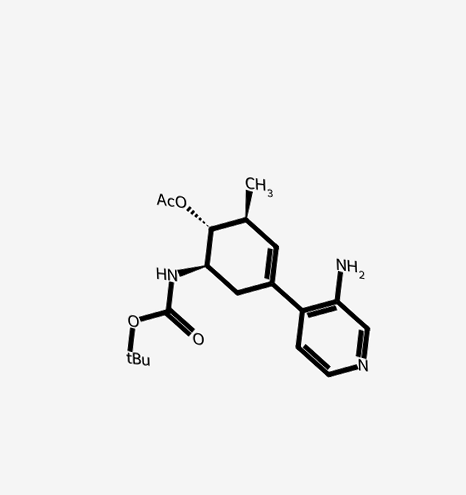 CC(=O)O[C@@H]1[C@@H](C)C=C(c2ccncc2N)C[C@H]1NC(=O)OC(C)(C)C